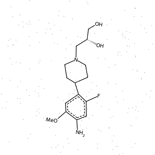 COc1cc(C2CCN(C[C@@H](O)CO)CC2)c(F)cc1N